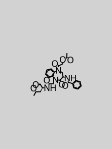 CC(=O)C[C@@H](C=O)NC(=O)CN1C(=O)C(NC(=O)c2ccccc2)CN(C(=O)COC(C)=O)c2ccccc21